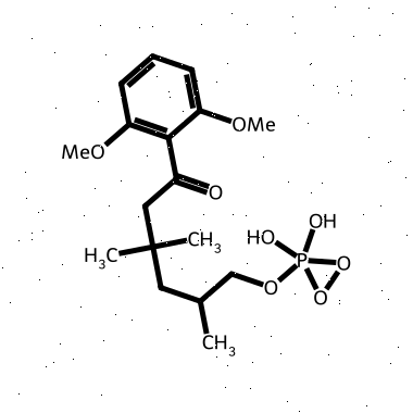 COc1cccc(OC)c1C(=O)CC(C)(C)CC(C)COP1(O)(O)OO1